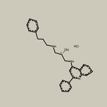 Cl.O[C@@H](CNCCCc1ccccc1)CNc1cc(-c2ccccc2)nc2ccccc12